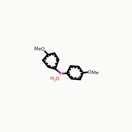 COc1ccc([P]c2ccc(OC)cc2)cc1.O